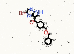 O=C(c1c[nH]c2ncc(Br)nc12)C1CCC(COCc2ccccc2)CC1